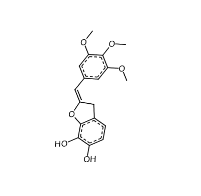 COc1cc(C=C2Cc3ccc(O)c(O)c3O2)cc(OC)c1OC